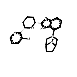 CN1C2CCC1CN(c1cccc3nc([C@H]4CCC[C@@H](c5ncccc5Cl)N4)[nH]c13)C2